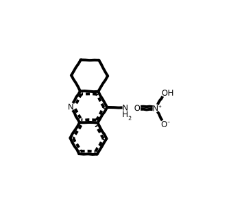 Nc1c2c(nc3ccccc13)CCCC2.O=[N+]([O-])O